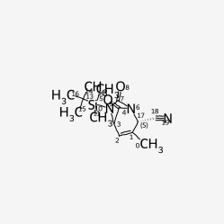 CC1=CC2C(=O)N(C(=O)N2[Si](C)(C)C(C)(C)C)[C@@H]1C#N